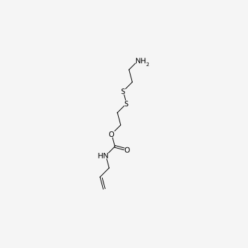 C=CCNC(=O)OCCSSCCN